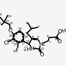 CC(C)CC1=CN(CCC(=O)O)C(=O)N[C@@]1(C)c1ccc(OCC(C)(C)C)c(Cl)c1F